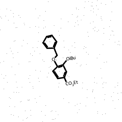 CCOC(=O)c1ccc(OCc2ccccc2)c(OCC(C)C)c1